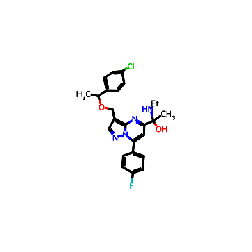 CCNC(C)(O)c1cc(-c2ccc(F)cc2)n2ncc(COC(C)c3ccc(Cl)cc3)c2n1